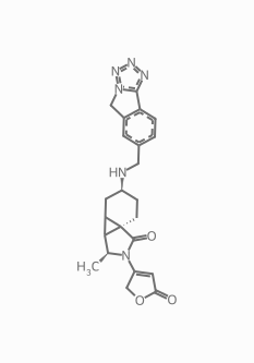 C[C@H]1C2C3C[C@@H](NCc4ccc5c(c4)Cn4nnnc4-5)CC[C@@]32C(=O)N1C1=CC(=O)OC1